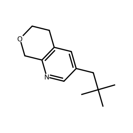 CC(C)(C)Cc1cnc2c(c1)CCOC2